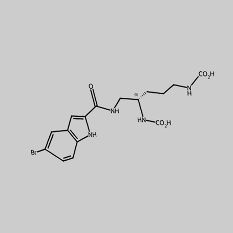 O=C(O)NCCC[C@@H](CNC(=O)c1cc2cc(Br)ccc2[nH]1)NC(=O)O